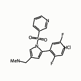 CNCc1cc(-c2cc(F)ccc2F)n(S(=O)(=O)c2cccnc2)c1.Cl